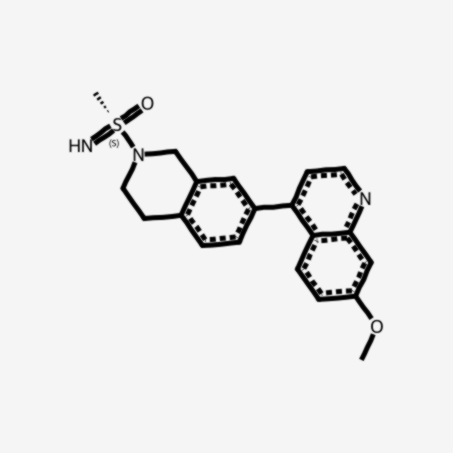 COc1ccc2c(-c3ccc4c(c3)CN([S@@](C)(=N)=O)CC4)ccnc2c1